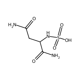 NC(=O)CC(NS(=O)(=O)O)C(N)=O